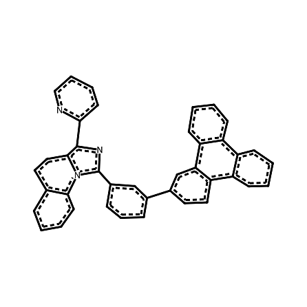 c1ccc(-c2nc(-c3cccc(-c4ccc5c6ccccc6c6ccccc6c5c4)c3)n3c2ccc2ccccc23)nc1